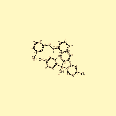 OC(c1ccc(Cl)cc1)(c1ccc(Cl)cc1)c1ccc2nncc(NCc3cccc(C(F)(F)F)c3)c2c1